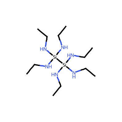 CCN[Si](NCC)(NCC)[Si](NCC)(NCC)NCC